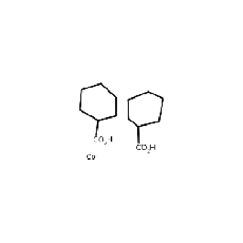 O=C(O)C1CCCCC1.O=C(O)C1CCCCC1.[Co]